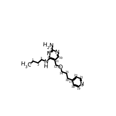 CCCCNc1nc(N)ncc1COCCCc1ccncc1